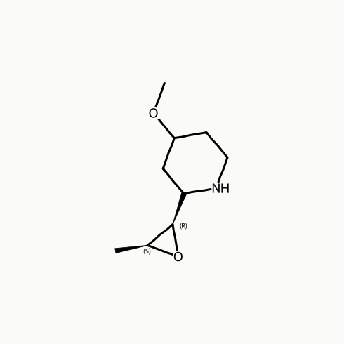 COC1CCNC([C@H]2O[C@H]2C)C1